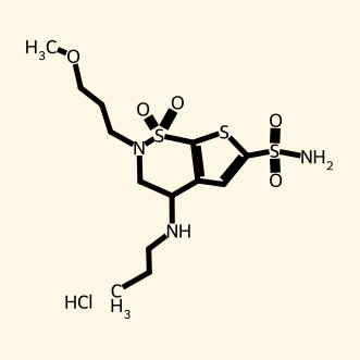 CCCNC1CN(CCCOC)S(=O)(=O)c2sc(S(N)(=O)=O)cc21.Cl